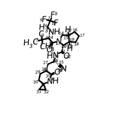 CC(C)(C)[C@H](NCC(F)(F)F)C(=O)N1C[C@@H]2CCC[C@@H]2[C@H]1C(=O)N[C@H](C#N)C[C@@H]1CCC2(CC2)NC1=O